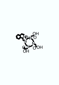 O=C(O)CN1CCN(CC(=O)O)CCN(Cc2c3ccccc3cc[n+]2[O-])CCN(CC(=O)O)CC1